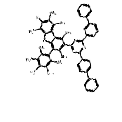 Bc1c(B)c(B)c(-c2c(B)c(-c3nc(-c4ccc(-c5ccccc5)cc4)nc(-c4cccc(-c5ccccc5)c4)n3)c(B)c3c2oc2c(B)c(B)c(B)c(B)c23)c(B)c1B